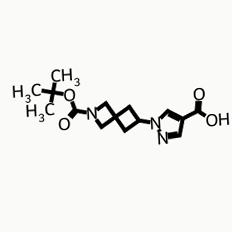 CC(C)(C)OC(=O)N1CC2(CC(n3cc(C(=O)O)cn3)C2)C1